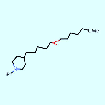 COCCCCCOCCCCCC1CCN(C(C)C)CC1